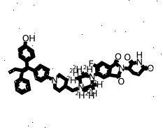 [2H]C1([2H])N(CC2CCN(c3ccc(C(=C(CC)c4ccccc4)c4ccc(O)cc4)cc3)CC2)C([2H])([2H])C([2H])([2H])N(c2cc3c(cc2F)C(=O)N(C2CCC(=O)NC2=O)C3=O)C1([2H])[2H]